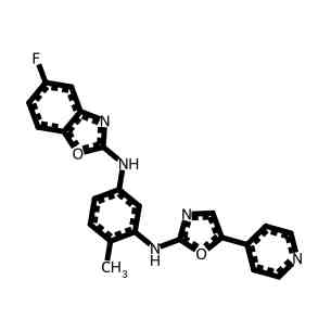 Cc1ccc(Nc2nc3cc(F)ccc3o2)cc1Nc1ncc(-c2ccncc2)o1